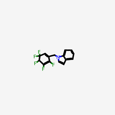 FC1=C(F)C(F)C(F)(F)C=C1Cn1ccc2ccccc21